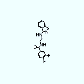 O=C(NCCNc1nsc2ccccc12)c1ccc(F)c(F)c1